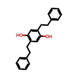 Oc1cc(CCc2ccccc2)c(O)cc1CCc1ccccc1